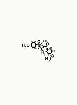 COc1ccc(C2OCCN(S(=O)(=O)c3ccc(C)cc3)C2C)cc1